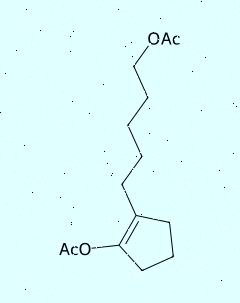 CC(=O)OCCCCCC1=C(OC(C)=O)CCC1